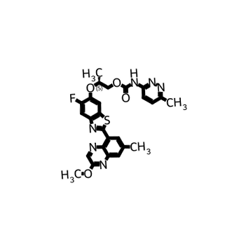 COc1cnc2c(-c3nc4cc(F)c(O[C@@H](C)COC(=O)Nc5ccc(C)nn5)cc4s3)cc(C)cc2n1